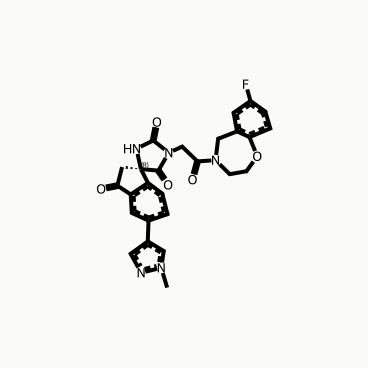 Cn1cc(-c2ccc3c(c2)C(=O)C[C@@]32NC(=O)N(CC(=O)N3CCOc4ccc(F)cc4C3)C2=O)cn1